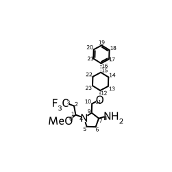 COC(CC(F)(F)F)N1CCC(N)C1CO[C@H]1CC[C@@H](c2ccccc2)CC1